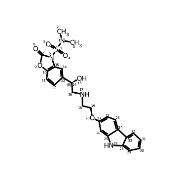 CN(C)S(=O)(=O)n1c(=O)oc2ccc([C@@H](O)CNCCOc3ccc4c(c3)[nH]c3ccccc34)cc21